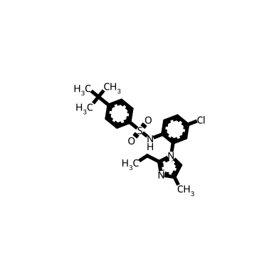 CCc1nc(C)cn1-c1cc(Cl)ccc1NS(=O)(=O)c1ccc(C(C)(C)C)cc1